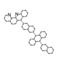 c1ccc2cc(-c3c4ccccc4c(-c4ccc5cc(-c6c7ccccc7nc7c6ccc6cccnc67)ccc5c4)c4ccccc34)ccc2c1